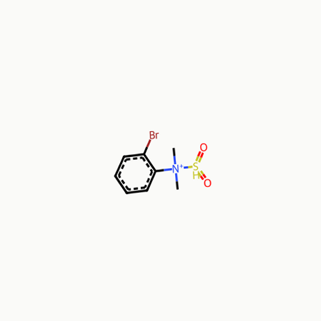 C[N+](C)(c1ccccc1Br)[SH](=O)=O